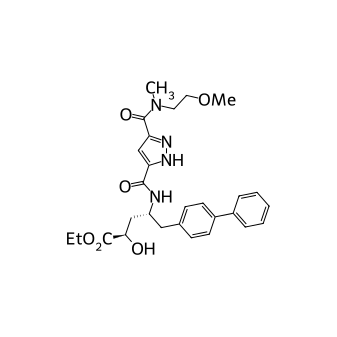 CCOC(=O)[C@H](O)C[C@@H](Cc1ccc(-c2ccccc2)cc1)NC(=O)c1cc(C(=O)N(C)CCOC)n[nH]1